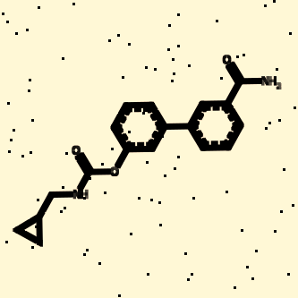 NC(=O)c1cccc(-c2cccc(OC(=O)NCC3CC3)c2)c1